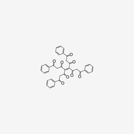 O=C(CC(=O)c1ccccc1)C(C(=O)CC(=O)c1ccccc1)=C(C(=O)CC(=O)c1ccccc1)C(=O)CC(=O)c1ccccc1